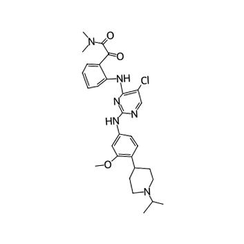 COc1cc(Nc2ncc(Cl)c(Nc3ccccc3C(=O)C(=O)N(C)C)n2)ccc1C1CCN(C(C)C)CC1